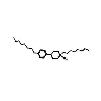 CCCCCCCCc1ccc(C2CCC(C#N)(CCCCCCCC)CC2)cc1